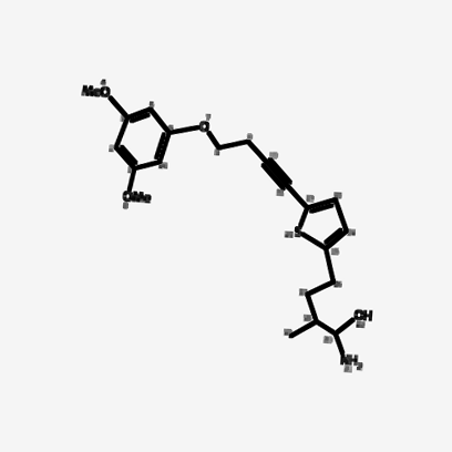 COc1cc(OC)cc(OCCC#Cc2ccc(CCC(C)C(N)O)s2)c1